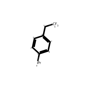 CC(C)c1ccc(CC(F)(F)F)cc1